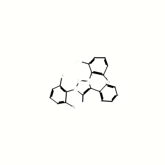 CC1=C(c2ccccc2)N(c2c(C(C)C)cccc2C(C)C)NN1c1c(C(C)C)cccc1C(C)C